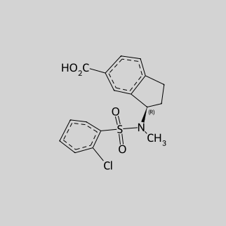 CN([C@@H]1CCc2ccc(C(=O)O)cc21)S(=O)(=O)c1ccccc1Cl